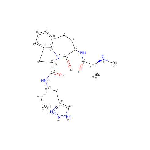 CC[C@H](C)[C@H](NC(C)(C)C)C(=O)NC1CCc2cccc3c2N(C1=O)[C@H](C(=O)N[C@@H](CC(=O)O)Cc1c[nH]nn1)C3